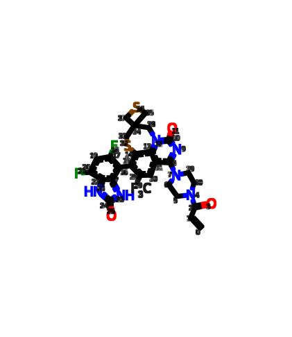 C=CC(=O)N1CCN(c2nc(=O)n3c4c(c(-c5c(F)cc(F)c6[nH]c(=O)[nH]c56)c(C(F)(F)F)cc24)SCC2(CSC2)C3)CC1